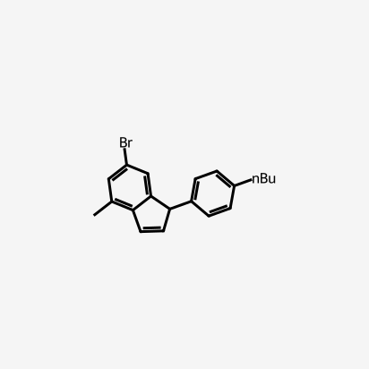 CCCCc1ccc(C2C=Cc3c(C)cc(Br)cc32)cc1